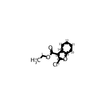 CCOC(=O)c1c(Cl)oc2ccccc12